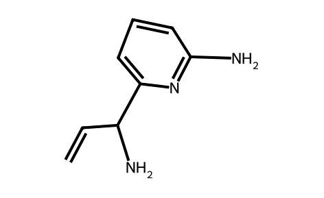 C=CC(N)c1cccc(N)n1